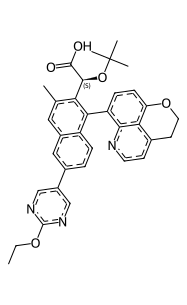 CCOc1ncc(-c2ccc3c(-c4ccc5c6c(ccnc46)CCO5)c([C@H](OC(C)(C)C)C(=O)O)c(C)cc3c2)cn1